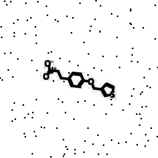 O=[N+]([O-])CCc1ccc(OCc2ccsc2)cc1